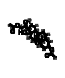 CC(=O)OCC(=O)[C@@]1(O)[C@H](C)CC2C3CC=C4C=C(OC(C)=O)C=C[C@]4(C)[C@@]34O[C@H]4C[C@@]21C